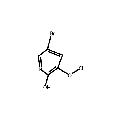 Oc1ncc(Br)cc1OCl